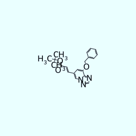 CC(C)(C)OC(=O)/C=C/c1cc(OCc2ccccc2)c2ncnn2c1